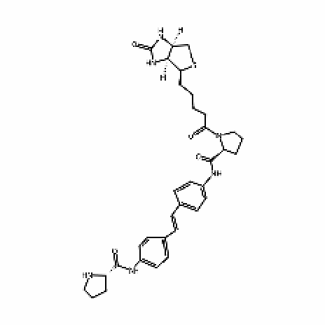 O=C1N[C@H]2[C@H](CS[C@H]2CCCCC(=O)N2CCC[C@H]2C(=O)Nc2ccc(/C=C/c3ccc(NC(=O)[C@@H]4CCCN4)cc3)cc2)N1